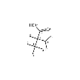 CC(C)C(C)(C(=O)O)C(C)(C)C